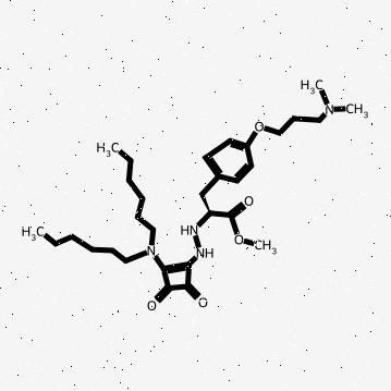 CCCCCCN(CCCCCC)c1c(NN[C@@H](Cc2ccc(OCCCN(C)C)cc2)C(=O)OC)c(=O)c1=O